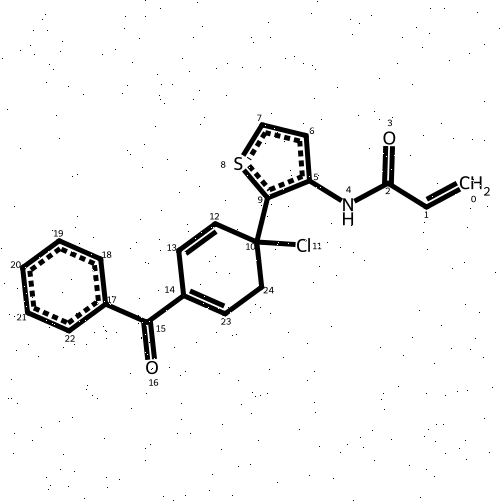 C=CC(=O)Nc1ccsc1C1(Cl)C=CC(C(=O)c2ccccc2)=CC1